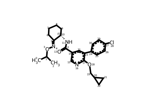 CC(C)ON=C1CCCC[C@@H]1NC(=O)c1cnc(OCC2CC2)c(-c2ccc(Cl)cc2)c1